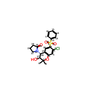 CC1(C)Oc2cc(Cl)c(S(=O)(=O)c3ccccc3)cc2[C@@H](N2CCCC2=O)[C@@H]1O